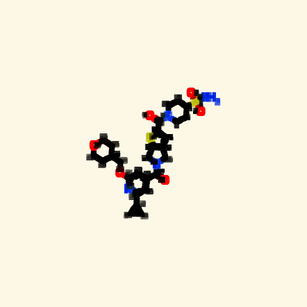 NS(=O)(=O)C1CCN(C(=O)c2cc3c(s2)CN(C(=O)c2cc(OCC4CCOCC4)nc(C4CC4)c2)C3)CC1